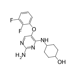 Nc1ncc(Oc2cccc(F)c2F)c(NC2CCC(O)CC2)n1